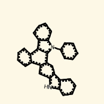 c1ccc(-n2c3ccccc3c3c4ccccc4c4cc5[nH]c6ccccc6c5cc4c32)cc1